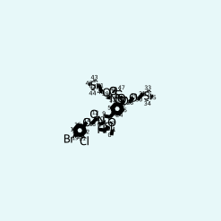 CC[Si](CC)(CC)OC(CNC(=O)COc1ccc(Br)c(Cl)c1)c1ccc(OCOCC[Si](C)(C)C)c(N(COCC[Si](C)(C)C)S(C)(=O)=O)c1